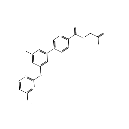 C=C(F)CNC(=O)c1ccc(-c2cc(C)cc(Nc3nccc(C(F)(F)F)n3)c2)cn1